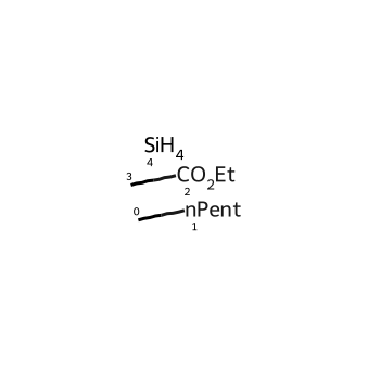 CCCCCC.CCOC(C)=O.[SiH4]